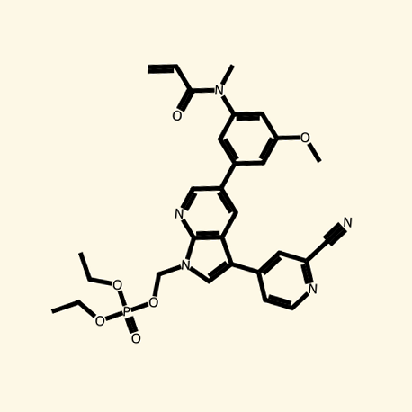 C=CC(=O)N(C)c1cc(OC)cc(-c2cnc3c(c2)c(-c2ccnc(C#N)c2)cn3COP(=O)(OCC)OCC)c1